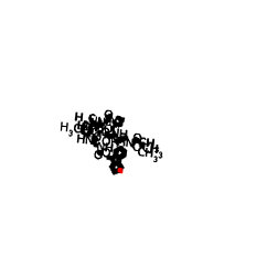 CC(C)C[C@H](NC(=O)CNC(=O)OCC1c2ccccc2-c2ccccc21)C(=O)N[C@@H](C)C(=O)NCC(=O)N1CCC[C@H]1C(=O)N[C@@H](CCCCNC(=O)OC(C)(C)C)C(=O)O